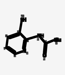 CC(C)(C)C(=O)Nc1ncccc1S